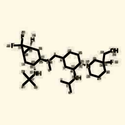 CC(C)N[C@H]1CC(CN(C)[C@@H]2C[C@H]3C(C[C@H]2NC(C)(C)C)C3(F)F)CC[C@@H]1N1CCC[C@@](F)(CO)C1